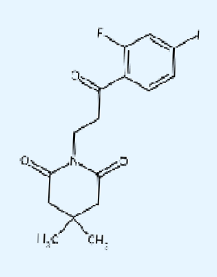 CC1(C)CC(=O)N(CCC(=O)c2ccc(I)cc2F)C(=O)C1